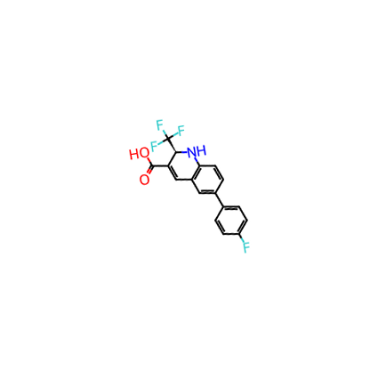 O=C(O)C1=Cc2cc(-c3ccc(F)cc3)ccc2N[C@@H]1C(F)(F)F